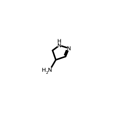 NC1C=NNC1